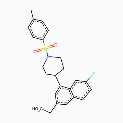 Cc1ccc(S(=O)(=O)N2CCC(c3cc(CC(=O)O)cc4ccc(F)cc34)CC2)cc1